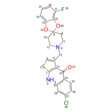 Nc1scc(CN2CCC3(CC2)Oc2cccc(F)c2O3)c1C(=O)c1ccc(Cl)cc1